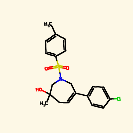 Cc1ccc(S(=O)(=O)N2CC(c3ccc(Cl)cc3)=CCC(C)(O)C2)cc1